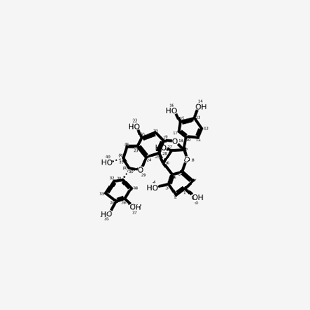 Oc1cc(O)c2c(c1)OC1(c3ccc(O)c(O)c3)Oc3cc(O)c4c(c3C2C1O)O[C@H](c1ccc(O)c(O)c1)[C@H](O)C4